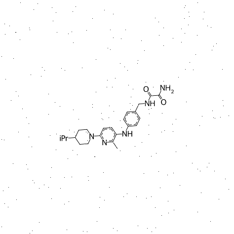 Cc1nc(N2CCC(C(C)C)CC2)ccc1Nc1ccc(CNC(=O)C(N)=O)cc1